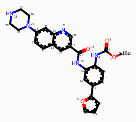 CC(C)(C)OC(=O)Nc1ccc(-c2ccco2)cc1NC(=O)c1cnc2cc(N3CCNCC3)ccc2c1